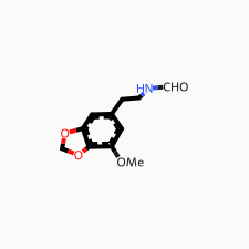 COc1cc(CCNC=O)cc2c1OCO2